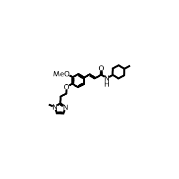 COc1cc(C=CC(=O)NC2CCC(C)CC2)ccc1OCCc1nccn1C